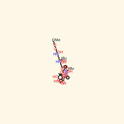 COCCCOCCOCCC(O)NCCCCC(NC(O)CCCC(O)O[C@@H](C(O)O[C@H]1CC2(O)[C@@H](OC(O)c3ccccc3)[C@H]3C4(OC4C(O)C(C1C)C2(C)C)C(O)CC1OC[C@]13OC(C)O)[C@@H](NC(O)OC(C)(C)C)c1ccccc1)C(O)C(C)(C)C